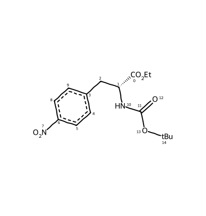 CCOC(=O)[C@@H](Cc1ccc([N+](=O)[O-])cc1)NC(=O)OC(C)(C)C